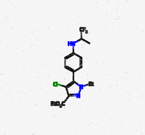 CCOC(=O)c1nn(CC)c(-c2ccc(NC(C)C(F)(F)F)cc2)c1Cl